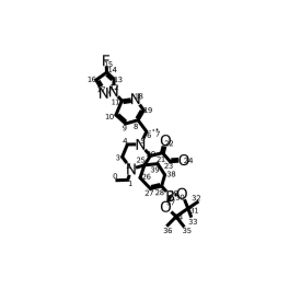 CCN1CCN([C@@H](C)c2ccc(-n3cc(F)cn3)nc2)C(C(=O)C=O)C12CC=C(B1OC(C)(C)C(C)(C)O1)CC2